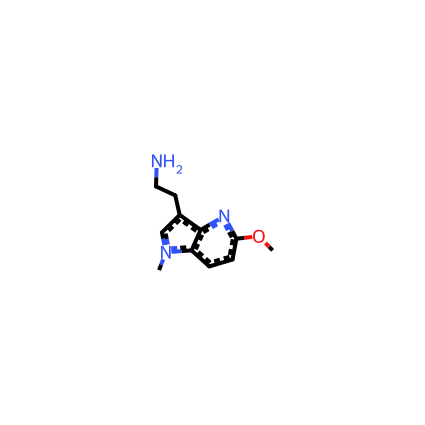 COc1ccc2c(n1)c(CCN)cn2C